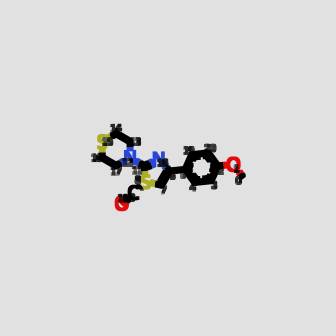 COc1ccc(C2=CS(=C=O)C(N3CCSCC3)=N2)cc1